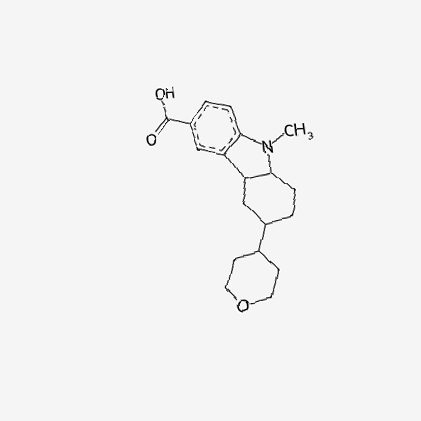 CN1c2ccc(C(=O)O)cc2C2CC(C3CCOCC3)CCC21